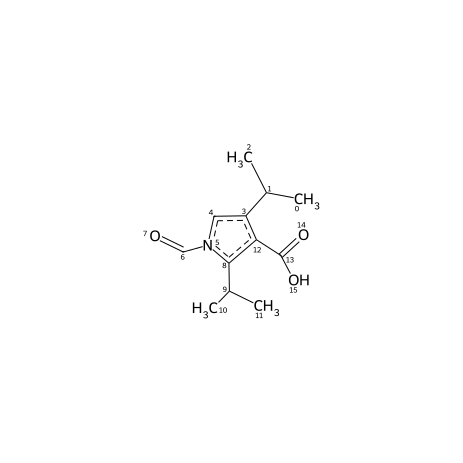 CC(C)c1cn(C=O)c(C(C)C)c1C(=O)O